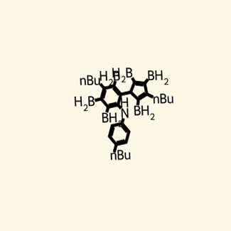 BC1=C(B)C(c2c(B)c(CCCC)c(B)c(B)c2Nc2ccc(CCCC)cc2)C(B)=C1CCCC